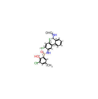 Cc1cc(Cl)c(O)c([S+]([O-])Nc2cc(-c3ccccc3CNC=O)c(F)cc2F)c1